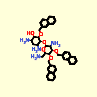 NCC1O[C@H](O[C@@H]2C(N)C[C@@H](N)[C@@H](O)C2OCc2ccc3ccccc3c2)C(N)[C@@H](OCc2ccc3ccccc3c2)[C@@H]1OCc1ccc2ccccc2c1